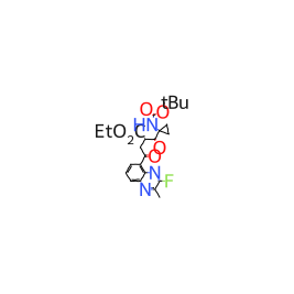 CCOC(=O)C(CC(=O)c1cccc2nc(C)c(F)nc12)C(=O)C1(NC(=O)OC(C)(C)C)CC1